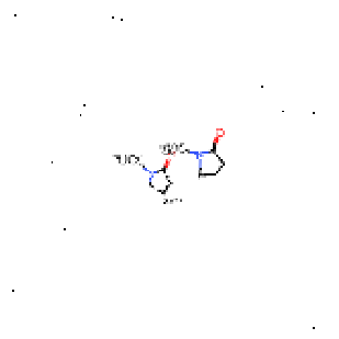 O=C([O-])N1CCCC1=O.O=C([O-])N1CCCC1=O.[Zn+2]